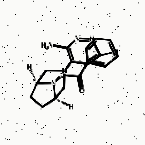 Nc1nnc(Cl)cc1N1C[C@H]2CC[C@@H](C1)N2OC(=O)c1ccccc1